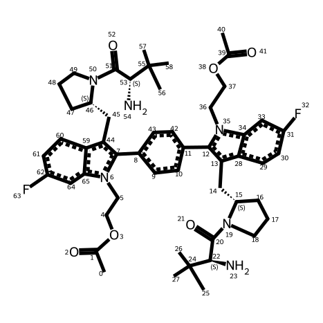 CC(=O)OCCn1c(-c2ccc(-c3c(C[C@@H]4CCCN4C(=O)[C@@H](N)C(C)(C)C)c4ccc(F)cc4n3CCOC(C)=O)cc2)c(C[C@@H]2CCCN2C(=O)[C@@H](N)C(C)(C)C)c2ccc(F)cc21